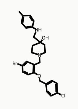 Cc1ccc(NCC2(O)CCN(Cc3cc(Br)ccc3OCc3ccc(Cl)cc3)CC2)cc1